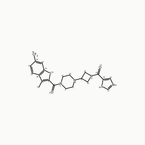 Cc1c(C(=O)N2CCN(C3CN(C(=O)c4cncs4)C3)CC2)sc2cc(C(F)(F)F)ccc12